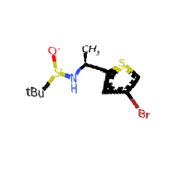 C[C@H](N[S+]([O-])C(C)(C)C)c1cc(Br)cs1